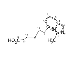 Cc1ncc2cccc(CCCCCC(=O)O)n12